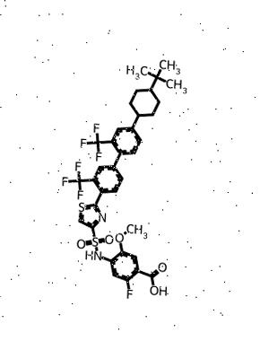 COc1cc(C(=O)O)c(F)cc1NS(=O)(=O)c1csc(-c2ccc(-c3ccc(C4CCC(C(C)(C)C)CC4)cc3C(F)(F)F)cc2C(F)(F)F)n1